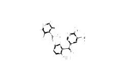 CCOc1cc(C(=N)c2cc(O[C@H](N)c3c(Cl)cncc3Cl)ccc2N)cnc1N